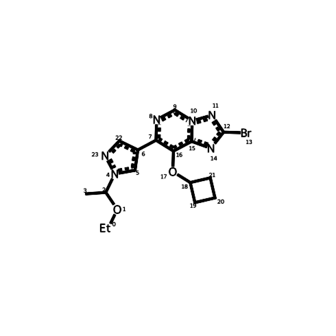 CCOC(C)n1cc(-c2ncn3nc(Br)nc3c2OC2CCC2)cn1